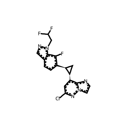 Fc1c([C@H]2C[C@@H]2c2cc(Cl)nn3ccnc23)ccc2cnn(CC(F)F)c12